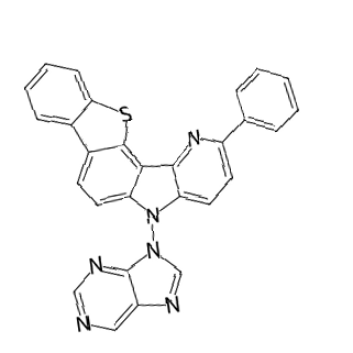 c1ccc(-c2ccc3c(n2)c2c4sc5ccccc5c4ccc2n3-n2cnc3cncnc32)cc1